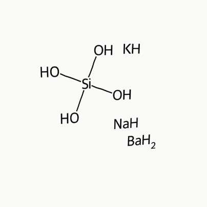 O[Si](O)(O)O.[BaH2].[KH].[NaH]